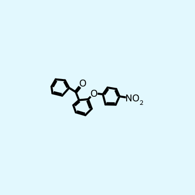 O=C(c1ccccc1)c1ccccc1Oc1ccc([N+](=O)[O-])cc1